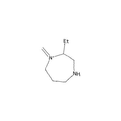 C=[N+]1CCCNCC1CC